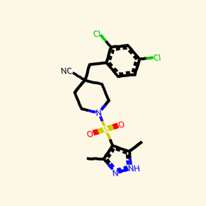 Cc1n[nH]c(C)c1S(=O)(=O)N1CCC(C#N)(Cc2ccc(Cl)cc2Cl)CC1